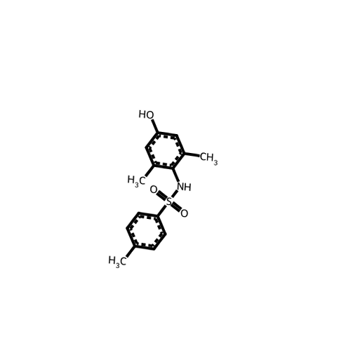 Cc1ccc(S(=O)(=O)Nc2c(C)cc(O)cc2C)cc1